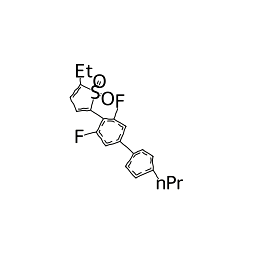 CCCc1ccc(-c2cc(F)c(C3=CC=C(CC)S3(=O)=O)c(F)c2)cc1